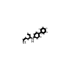 C=CC(C/C=C\CC)NC1C=CC(c2ccccc2)=CC1